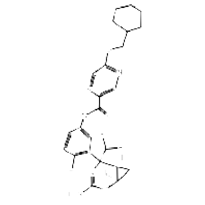 NC1=N[C@@](c2cc(NC(=O)c3cnc(OCC4CCCCC4)cn3)ccc2F)(C(F)F)[C@H]2C[C@H]2O1